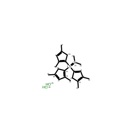 CC1=CC(C)=[C]([Ti]([C]2=CC(C)=C(C)C2)([C]2=C(C)C=C(C)C2)=[Si](C)C)C1.Cl.Cl